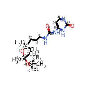 CCCC[Si](C)(C)O[Si](C)(C)O[Si](C)(C)CCCNC(=O)Nc1ccnc(=O)[nH]1